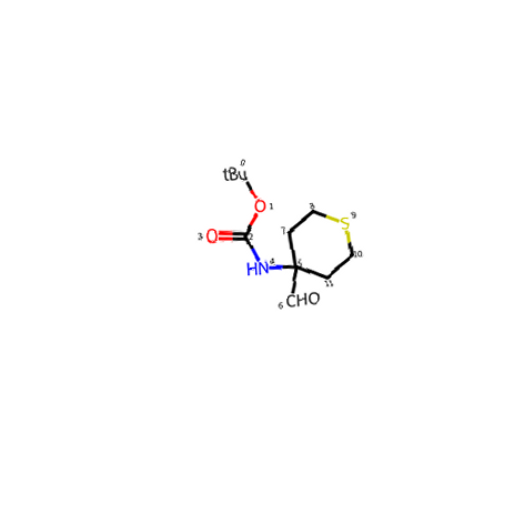 CC(C)(C)OC(=O)NC1(C=O)CCSCC1